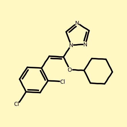 Clc1ccc(/C=C(\OC2CCCCC2)n2cncn2)c(Cl)c1